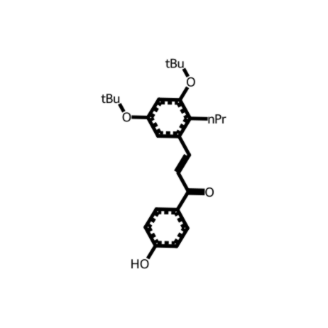 CCCc1c(C=CC(=O)c2ccc(O)cc2)cc(OC(C)(C)C)cc1OC(C)(C)C